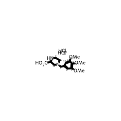 COc1cc(CN2CCNC(C(=O)O)C2)cc(OC)c1OC.Cl.Cl